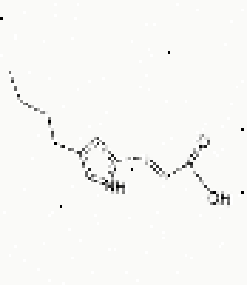 CCCCc1c[nH]c(C=CC(=O)O)c1